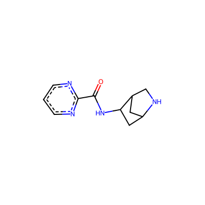 O=C(NC1CC2CC1CN2)c1ncccn1